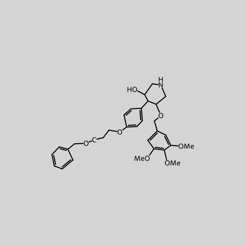 COc1cc(COC2CNCC(O)C2c2ccc(OCCCOCc3ccccc3)cc2)cc(OC)c1OC